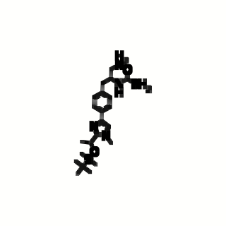 BC(=O)NC(CN)Cc1ccc(-c2cn(C)c(C(C)O[Si](C)(C)C(C)(C)C)n2)cc1